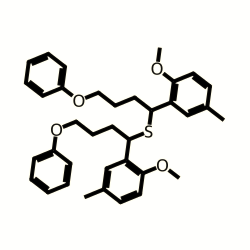 COc1ccc(C)cc1C(CCCOc1ccccc1)SC(CCCOc1ccccc1)c1cc(C)ccc1OC